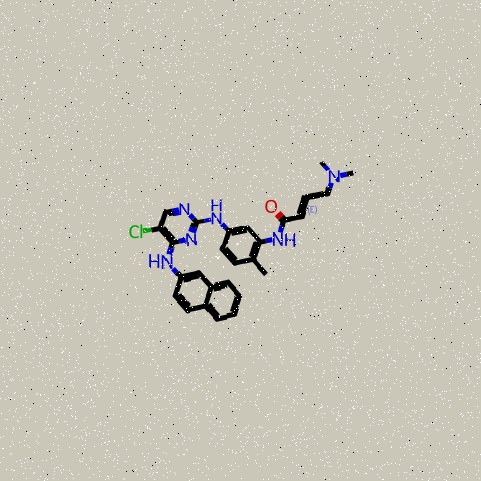 Cc1ccc(Nc2ncc(Cl)c(Nc3ccc4ccccc4c3)n2)cc1NC(=O)/C=C/CN(C)C